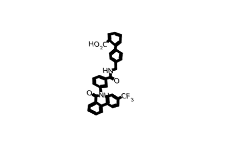 O=C(NCc1ccc(-c2ccccc2C(=O)O)cc1)c1cccc(NC(=O)c2ccccc2-c2ccc(C(F)(F)F)cc2)c1